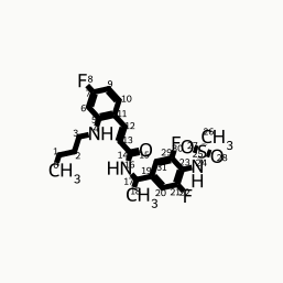 CCCCNc1cc(F)ccc1C=CC(=O)NC(C)c1cc(F)c(NS(C)(=O)=O)c(F)c1